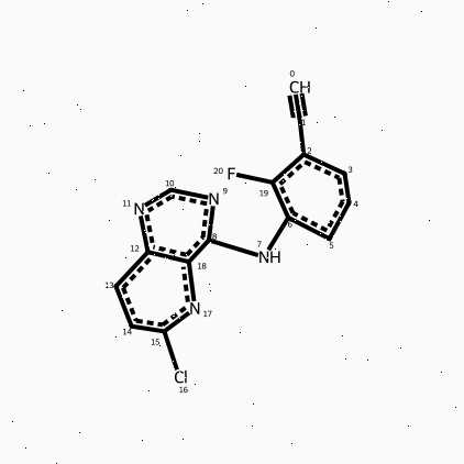 C#Cc1cccc(Nc2ncnc3ccc(Cl)nc23)c1F